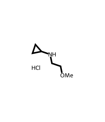 COCCNC1CC1.Cl